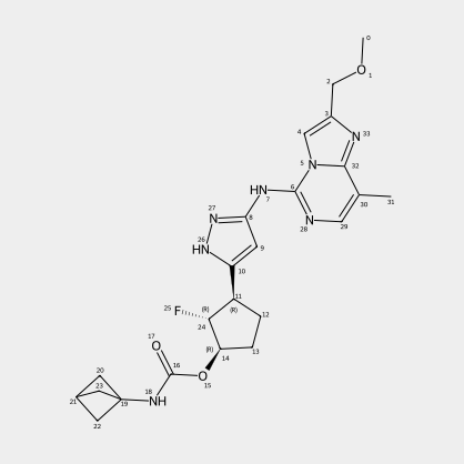 COCc1cn2c(Nc3cc([C@H]4CC[C@@H](OC(=O)NC56CC(C5)C6)[C@@H]4F)[nH]n3)ncc(C)c2n1